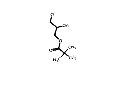 CC(C)(C)C(=O)OCC(O)CCl